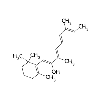 CC=C(C)C=CC=C(C)C(O)=CC1=C(C)CCCC1(C)C